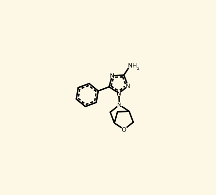 Nc1nc(-c2ccccc2)n(N2CC3CC2CO3)n1